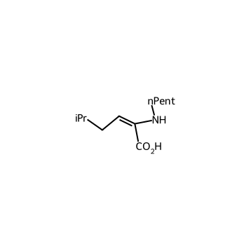 CCCCCNC(=CCC(C)C)C(=O)O